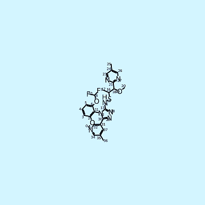 COc1cccc(OC(F)F)c1-n1c(NSC(C)C(OC)c2ncc(C)cn2)nnc1-c1cncc(C)c1